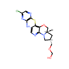 Nc1nc(Cl)cnc1Sc1ccnc2c1OC[C@@H]1C[C@H](COCO)CN21